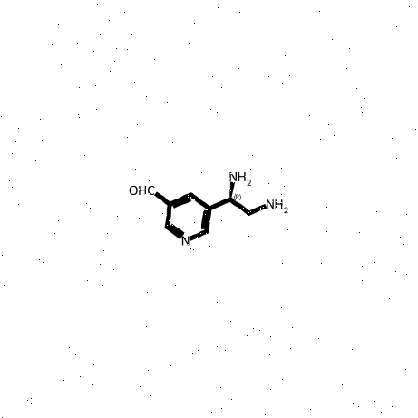 NC[C@H](N)c1cncc(C=O)c1